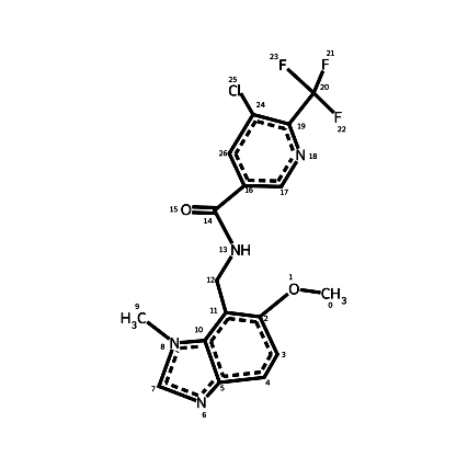 COc1ccc2ncn(C)c2c1CNC(=O)c1cnc(C(F)(F)F)c(Cl)c1